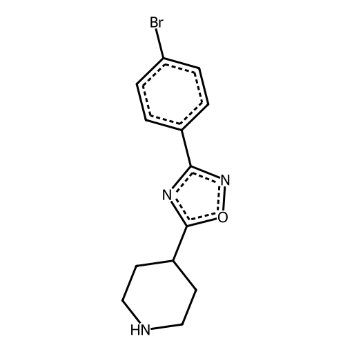 Brc1ccc(-c2noc(C3CCNCC3)n2)cc1